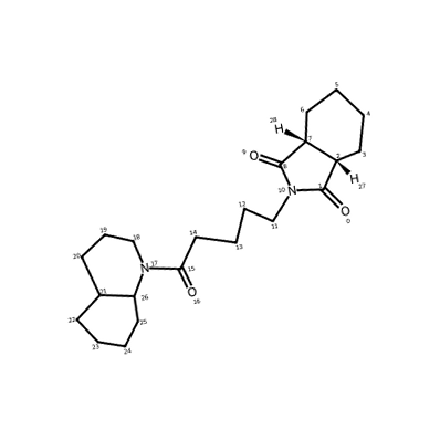 O=C1[C@H]2CCCC[C@H]2C(=O)N1CCCCC(=O)N1CCCC2CCCCC21